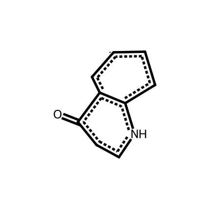 O=c1cc[nH]c2cc[c]cc12